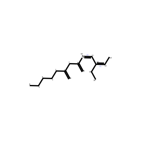 C=C(CCCCC)CC(=C)/N=C\C(=C/C)CC